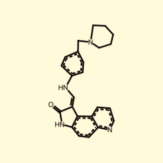 O=C1Nc2ccc3ncccc3c2C1=CNc1ccc(CN2CCCCC2)cc1